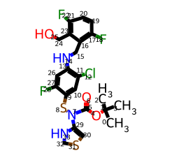 CC(C)(C)OC(=O)N(Sc1cc(Cl)c(NCc2c(F)ccc(F)c2CO)cc1F)C1=CSCN1